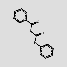 O=C(CC(=O)c1ccccc1)[N]c1ccccc1